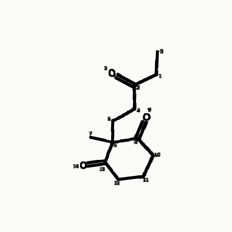 CCC(=O)CCC1(C)C(=O)CCCC1=O